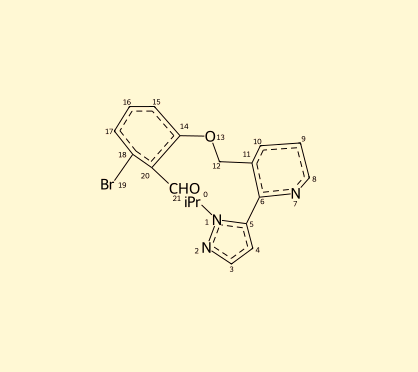 CC(C)n1nccc1-c1ncccc1COc1cccc(Br)c1C=O